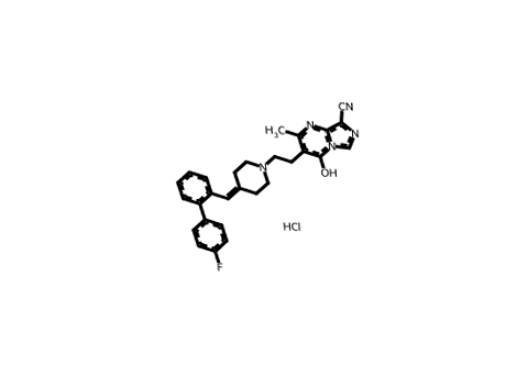 Cc1nc2c(C#N)ncn2c(O)c1CCN1CCC(=Cc2ccccc2-c2ccc(F)cc2)CC1.Cl